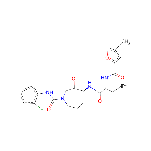 Cc1coc(C(=O)NC(CC(C)C)C(=O)N[C@H]2CCCN(C(=O)Nc3ccccc3F)CC2=O)c1